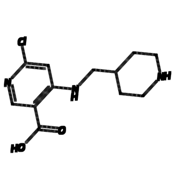 O=C(O)c1cnc(Cl)cc1NCC1CCNCC1